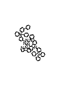 c1ccc(-c2cccc([Si](c3ccccc3)(c3ccccc3)c3cccc(-c4nc(-n5c6ccccc6c6cccnc65)nc(-n5c6ccccc6c6ccc7c(c8ccccc8n7-c7cccc([Si](c8ccccc8)(c8ccccc8)c8ccccc8)c7)c65)n4)c3)c2)cc1